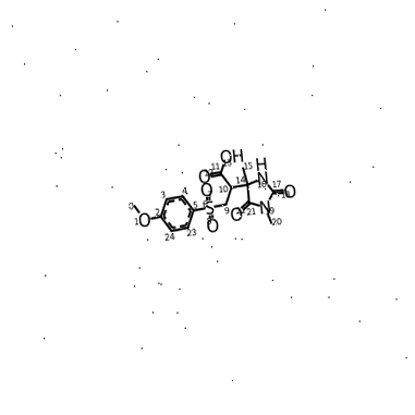 COc1ccc(S(=O)(=O)CC(C(=O)O)C2(C)NC(=O)N(C)C2=O)cc1